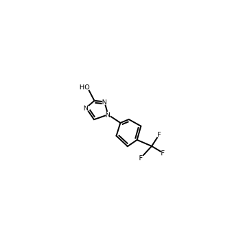 Oc1ncn(-c2ccc(C(F)(F)F)cc2)n1